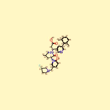 COC(=O)C[C@H](NC(=O)[C@H](CC(C)C)n1cc(CN2CC[C@@H](F)C2)ccc1=O)c1cncc(-c2c(C)cccc2C)c1